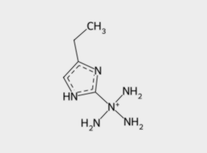 CCc1c[nH]c([N+](N)(N)N)n1